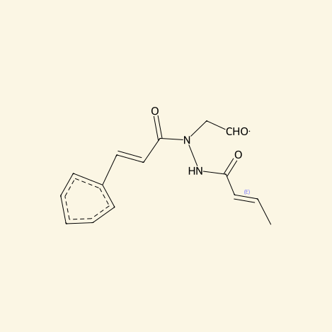 C/C=C/C(=O)NN(C[C]=O)C(=O)C=Cc1ccccc1